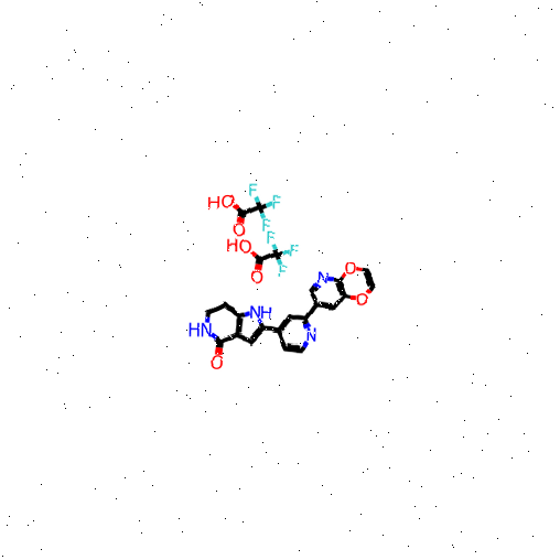 O=C(O)C(F)(F)F.O=C(O)C(F)(F)F.O=C1NCCc2[nH]c(-c3ccnc(-c4cnc5c(c4)OC=CO5)c3)cc21